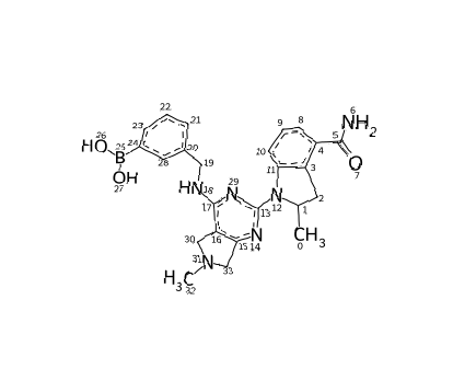 CC1Cc2c(C(N)=O)cccc2N1c1nc2c(c(NCc3cccc(B(O)O)c3)n1)CN(C)C2